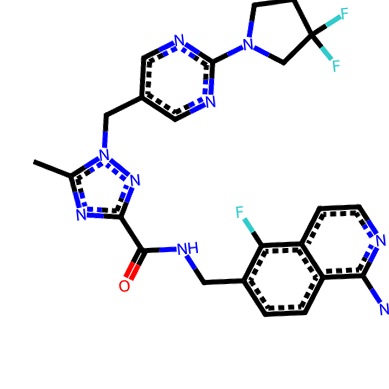 Cc1nc(C(=O)NCc2ccc3c(N)nccc3c2F)nn1Cc1cnc(N2CCC(F)(F)C2)nc1